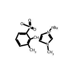 CCCC[n+]1ccn(C)c1.Cc1cccc(S(=O)(=O)[O-])c1C